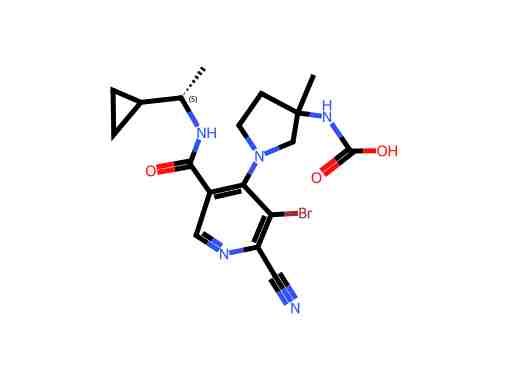 C[C@H](NC(=O)c1cnc(C#N)c(Br)c1N1CCC(C)(NC(=O)O)C1)C1CC1